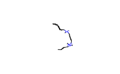 CC=CC[N+](C)(C)CCC[N+](C)(C)CC=CC